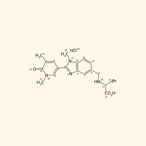 Cc1cc(-c2nc3cc(CNC(C(=O)O)C(C)C)ccc3n2C)cn(C)c1=O.Cl